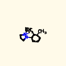 Cc1cccc(-n2ccc[n+]2C)c1C